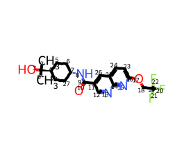 CC(C)(O)[C@H]1CC[C@H](NC(=O)c2cnc3nc(OCC(F)(F)F)ccc3c2)CC1